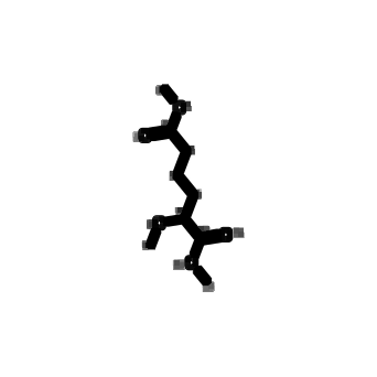 COC(=O)CCCC(OC)C(=O)OC